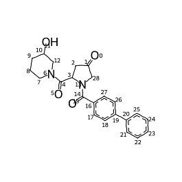 O=C1CC(C(=O)N2CCCC(O)C2)N(C(=O)c2ccc(-c3ccccc3)cc2)C1